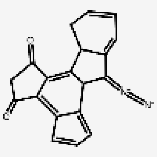 [N-]=[N+]=C1C2=CC=CCC2C2=C3C(=O)CC(=O)C3=C3C=CC=C3C12